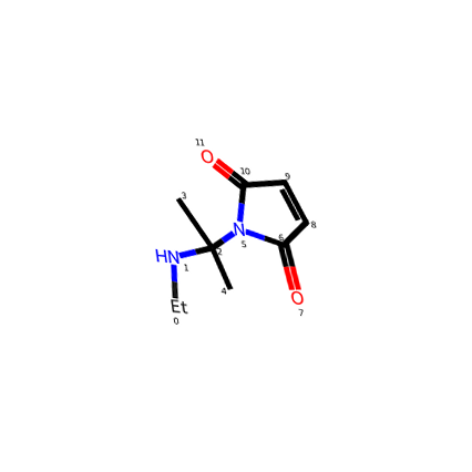 CCNC(C)(C)N1C(=O)C=CC1=O